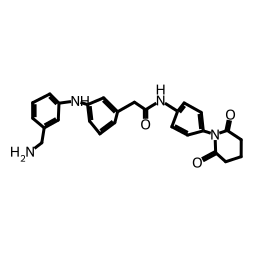 NCc1cccc(Nc2cccc(CC(=O)Nc3ccc(N4C(=O)CCCC4=O)cc3)c2)c1